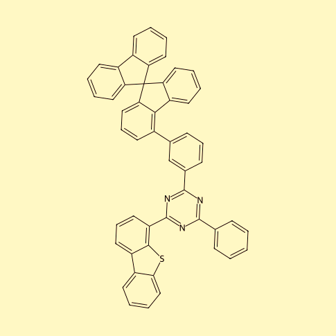 c1ccc(-c2nc(-c3cccc(-c4cccc5c4-c4ccccc4C54c5ccccc5-c5ccccc54)c3)nc(-c3cccc4c3sc3ccccc34)n2)cc1